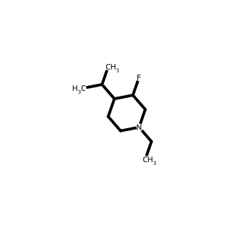 CCN1CCC(C(C)C)C(F)C1